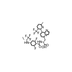 CC[C@@H](Nc1cc(F)c(C(=O)N[C@@H](Cc2ccc(-c3nc(C)ccc3C(F)(F)F)c3nccn23)C(=O)O)c(F)c1)C(F)(F)F